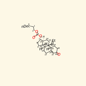 CCCCCCCCCCCCOC(=O)O[C@H]1CC[C@H]2[C@@H]3CCC4=CC(=O)CC[C@@H]4[C@H]3[C@@H](CC)C[C@]12C